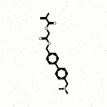 C=C(C)C(=O)OCC(=O)OCc1ccc(-c2ccc(CN(C)C)cc2)cc1